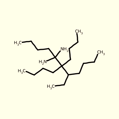 CCCCC(CC)C(CCCC)(CCCC)C(N)(N)CCCC